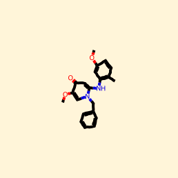 COc1ccc(C)c(Nc2cc(=O)c(OC)cn2Cc2ccccc2)c1